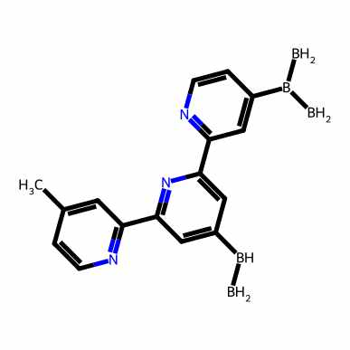 BBc1cc(-c2cc(C)ccn2)nc(-c2cc(B(B)B)ccn2)c1